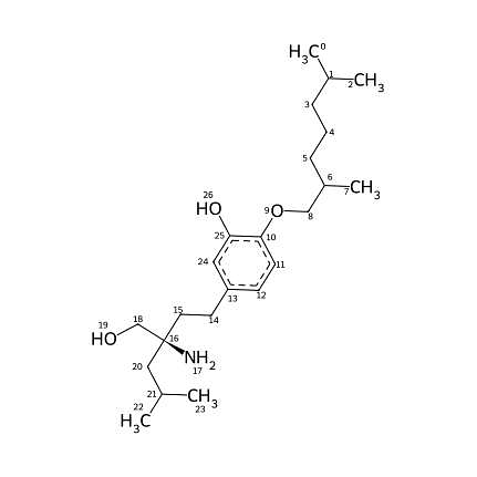 CC(C)CCCC(C)COc1ccc(CC[C@@](N)(CO)CC(C)C)cc1O